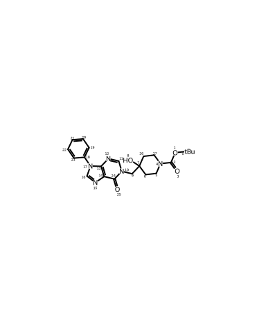 CC(C)(C)OC(=O)N1CCC(O)(Cn2cnc3c(ncn3-c3ccccc3)c2=O)CC1